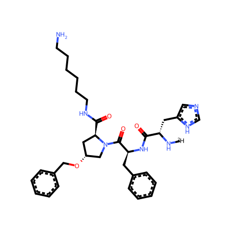 [2H]N[C@@H](Cc1cnc[nH]1)C(=O)N[C@@H](Cc1ccccc1)C(=O)N1C[C@H](OCc2ccccc2)C[C@H]1C(=O)NCCCCCCN